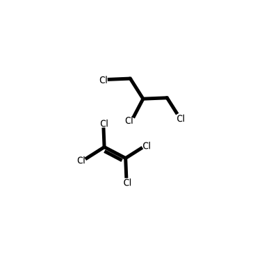 ClC(Cl)=C(Cl)Cl.ClCC(Cl)CCl